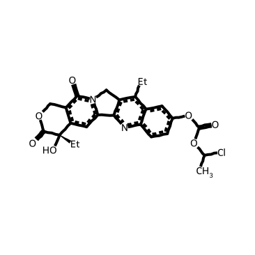 CCc1c2c(nc3ccc(OC(=O)OC(C)Cl)cc13)-c1cc3c(c(=O)n1C2)COC(=O)[C@]3(O)CC